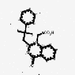 CC(C)(Cc1nc(=O)c2ccccc2n1CC(=O)O)c1ccccc1